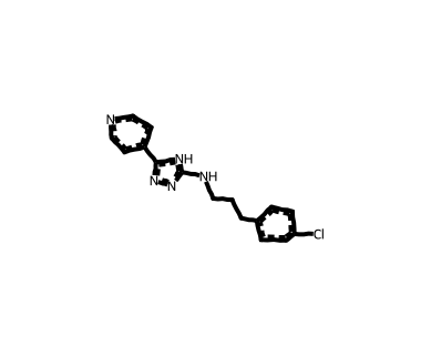 Clc1ccc(CCCNc2nnc(-c3ccncc3)[nH]2)cc1